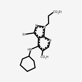 CCOC(=O)CCn1nc(CC)c2c(NC3CCCCC3)c(C(=O)O)cnc21